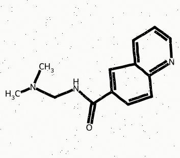 CN(C)CNC(=O)c1ccc2ncccc2c1